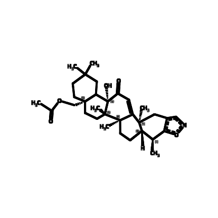 CC(=O)OC[C@]12CCC(C)(C)CC1[C@@]1(O)C(=O)C=C3[C@@]4(C)Cc5cnoc5[C@@H](C)[C@@H]4CC[C@@]3(C)[C@]1(C)CC2